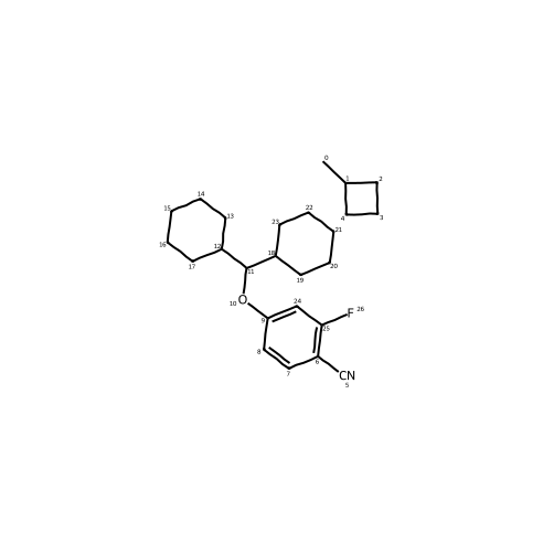 CC1CCC1.N#Cc1ccc(OC(C2CCCCC2)C2CCCCC2)cc1F